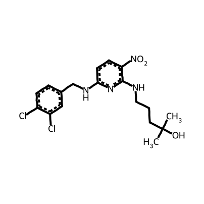 CC(C)(O)CCCNc1nc(NCc2ccc(Cl)c(Cl)c2)ccc1[N+](=O)[O-]